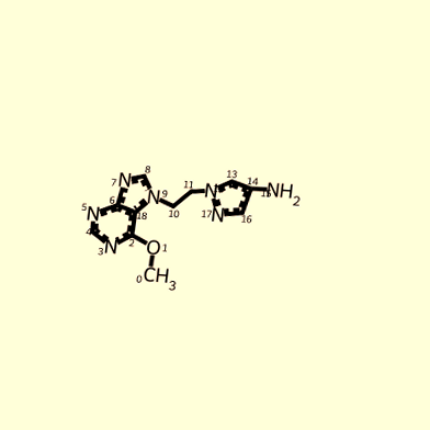 COc1ncnc2ncn(CCn3cc(N)cn3)c12